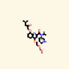 COCOCCOc1cc(C(=O)N(C(C)C)[C@@H]2CCCNC2)nc2c(OCC(=O)CC(C)C)cccc12